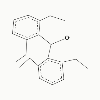 CCc1cccc(CC)c1C([O])c1c(CC)cccc1CC